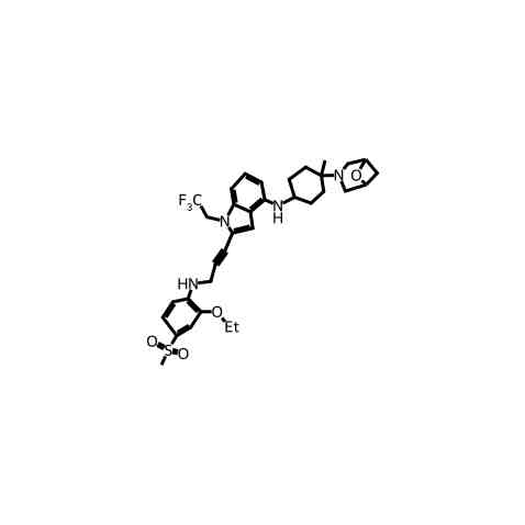 CCOc1cc(S(C)(=O)=O)ccc1NCC#Cc1cc2c(NC3CCC(C)(N4CC5CC(C4)O5)CC3)cccc2n1CC(F)(F)F